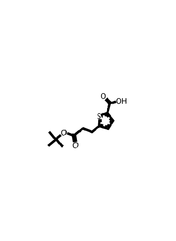 CC(C)(C)OC(=O)CCc1ccc(C(=O)O)s1